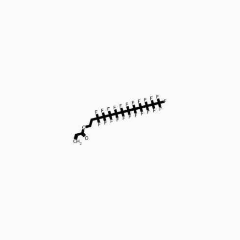 C=CC(=O)OCCC(F)(F)C(F)(F)C(F)(F)C(F)(F)C(F)(F)C(F)(F)C(F)(F)C(F)(F)C(F)(F)C(F)(F)C(F)(F)F